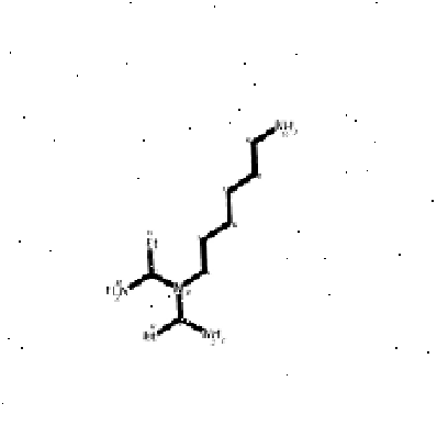 CCC(N)N(CCCCCCN)C(N)CC